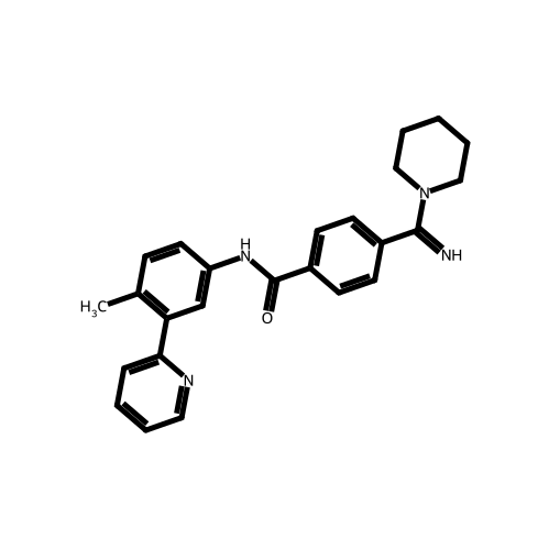 Cc1ccc(NC(=O)c2ccc(C(=N)N3CCCCC3)cc2)cc1-c1ccccn1